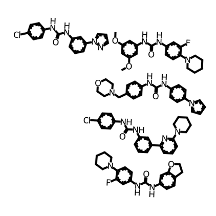 COc1cc(NC(=O)Nc2ccc(N3CCCCC3)c(F)c2)cc(OC)c1.O=C(Nc1ccc(CN2CCOCC2)cc1)Nc1ccc(-n2cccc2)cc1.O=C(Nc1ccc(Cl)cc1)Nc1cccc(-c2cccc(N3CCCCC3)n2)c1.O=C(Nc1ccc(Cl)cc1)Nc1cccc(-n2cccn2)c1.O=C(Nc1ccc(N2CCCCC2)c(F)c1)Nc1ccc2c(c1)OCC2